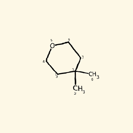 CC1(C)[C]COCC1